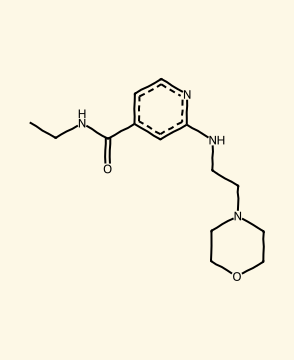 CCNC(=O)c1ccnc(NCCN2CCOCC2)c1